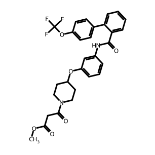 COC(=O)CC(=O)N1CCC(Oc2cccc(NC(=O)c3ccccc3-c3ccc(OC(F)(F)F)cc3)c2)CC1